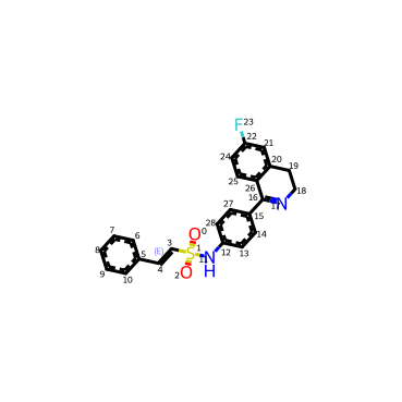 O=S(=O)(/C=C/c1ccccc1)Nc1ccc(C2=NCCc3cc(F)ccc32)cc1